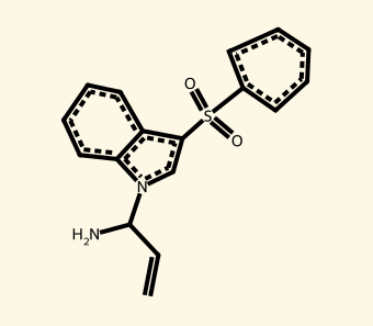 C=CC(N)n1cc(S(=O)(=O)c2ccccc2)c2ccccc21